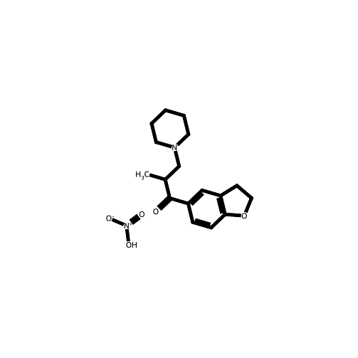 CC(CN1CCCCC1)C(=O)c1ccc2c(c1)CCO2.O=[N+]([O-])O